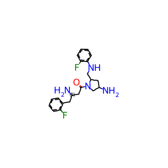 NC1CC(CNc2ccccc2F)N(C(=O)C[C@H](N)Cc2ccccc2F)C1